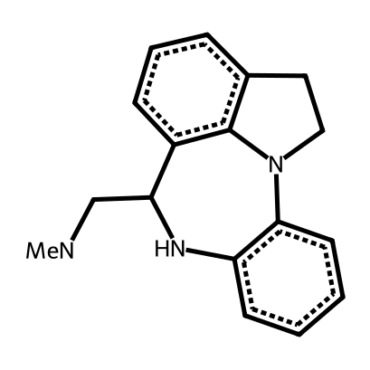 CNCC1Nc2ccccc2N2CCc3cccc1c32